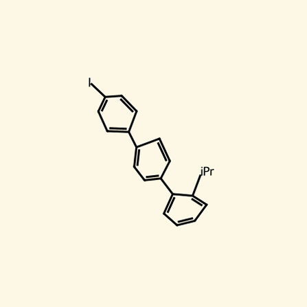 CC(C)c1ccccc1-c1ccc(-c2ccc(I)cc2)cc1